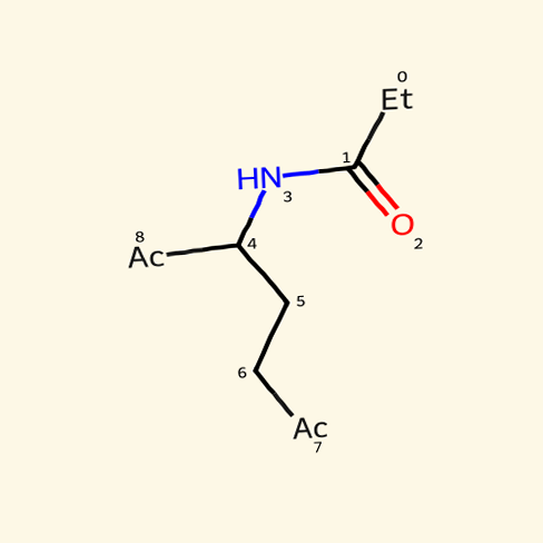 CCC(=O)NC(CCC(C)=O)C(C)=O